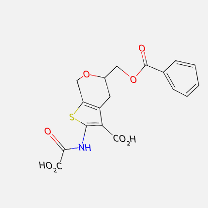 O=C(O)C(=O)Nc1sc2c(c1C(=O)O)CC(COC(=O)c1ccccc1)OC2